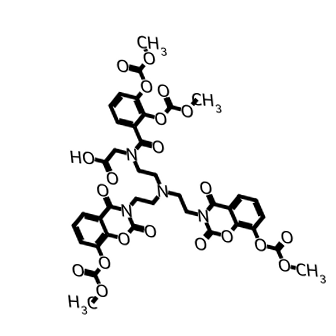 COC(=O)Oc1cccc(C(=O)N(CCN(CCn2c(=O)oc3c(OC(=O)OC)cccc3c2=O)CCn2c(=O)oc3c(OC(=O)OC)cccc3c2=O)CC(=O)O)c1OC(=O)OC